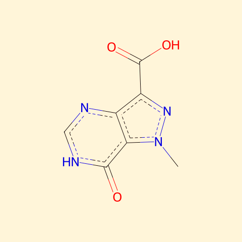 Cn1nc(C(=O)O)c2nc[nH]c(=O)c21